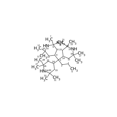 CCCC(C1CC(C)(C)NC(C)(C)C1)(C1CC(C)(C)NC(C)(C)C1)C1CC(C)(C)NC(C)(C)C1